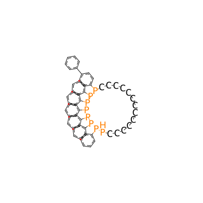 c1ccc(-c2ccc(P3CCCCCCCCCCCCCPP(c4ccccc4)P(c4ccccc4)P(c4ccccc4)P(c4ccccc4)P(c4ccccc4)P3c3ccccc3)cc2)cc1